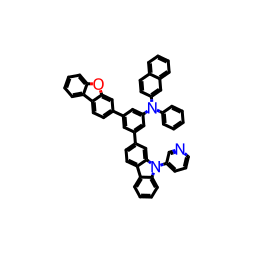 c1ccc(N(c2cc(-c3ccc4c(c3)oc3ccccc34)cc(-c3ccc4c5ccccc5n(-c5cccnc5)c4c3)c2)c2ccc3ccccc3c2)cc1